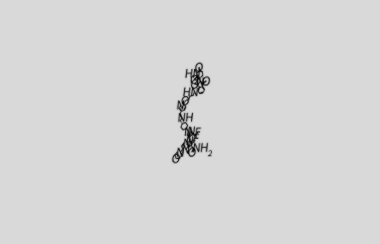 NC(=O)c1cn(-c2cn([C@H]3CC[C@H](CNCc4ccc(OCCCNc5cccc6c5C(=O)N(C5CCC(=O)NC5=O)C6=O)nc4)CC3)nc2C(F)F)[n+]2ccc(N3CCOCC3)nc12